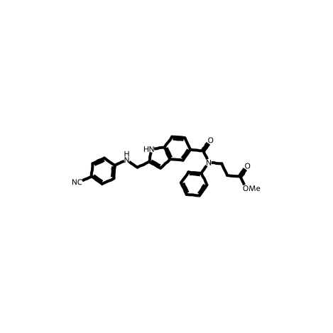 COC(=O)CCN(C(=O)c1ccc2[nH]c(CNc3ccc(C#N)cc3)cc2c1)c1ccccc1